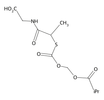 CC(C)C(=O)OCOC(=O)SC(C)C(=O)NCC(=O)O